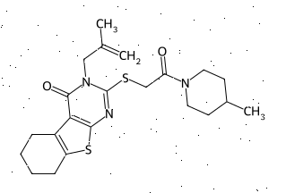 C=C(C)Cn1c(SCC(=O)N2CCC(C)CC2)nc2sc3c(c2c1=O)CCCC3